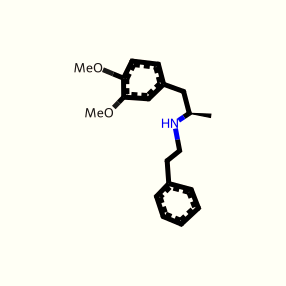 COc1ccc(C[C@@H](C)NCCc2ccccc2)cc1OC